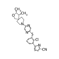 C[C@@H]1OCC2(CCN(c3cnc(Sc4cccc(-c5nc(C#N)cs5)c4Cl)cn3)CC2)[C@@H]1C